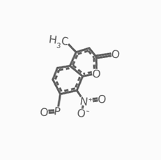 Cc1cc(=O)oc2c([N+](=O)[O-])c(P=O)ccc12